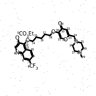 CCOC(=O)Oc1cnc2cc(C(F)(F)F)ccc2c1OCCCCCOc1coc(CN2CCN(C)CC2)cc1=O